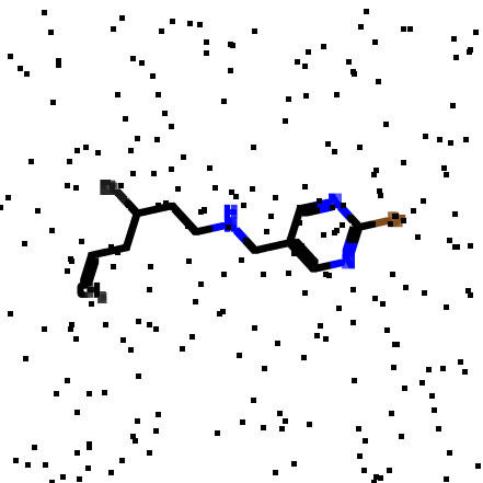 C=CCC(CC)CCNCc1cnc(Br)nc1